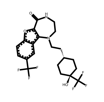 O=C1NCCN(CC[C@H]2CC[C@@](O)(C(F)(F)F)CC2)c2c1oc1ccc(C(F)(F)F)cc21